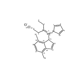 CC[C](CC)=[Hf+2]([CH]1C=CC=C1)[CH]1C=Cc2c(C)ccc(C)c21.[Cl-].[Cl-]